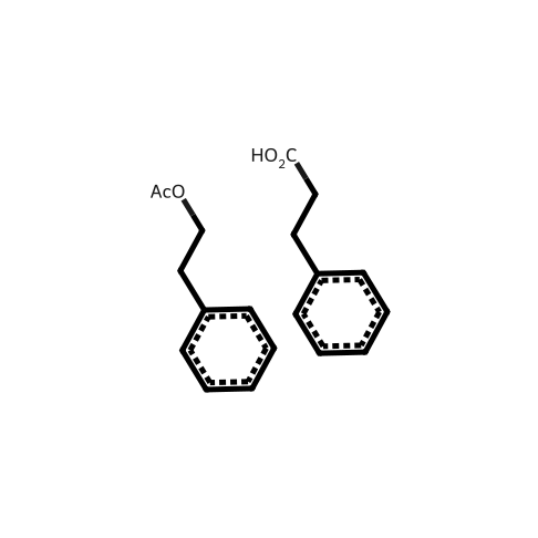 CC(=O)OCCc1ccccc1.O=C(O)CCc1ccccc1